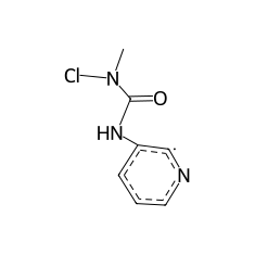 CN(Cl)C(=O)Nc1[c]nccc1